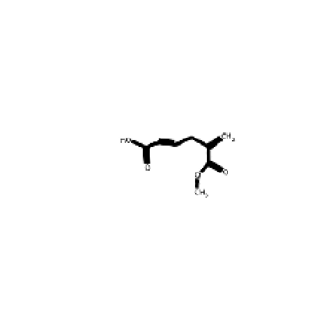 C=C(CC=CC(=O)O)C(=O)OC